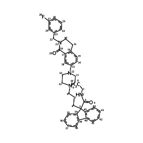 CCNC(=O)C1(CCCN2CCN(c3ccc4c(c3)C(=O)N(Cc3cccc(F)c3)CC4)CC2)c2ccccc2-c2ccccc21